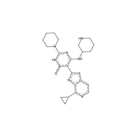 O=c1[nH]c(N2CCCCC2)nc(NC2CCCNC2)c1-c1nc2c(C3CC3)nccc2s1